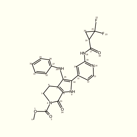 COC(=O)N1CCc2c([nH]c(-c3ccnc(NC(=O)C4CC4(F)F)c3)c2Nc2ccccc2)C1=O